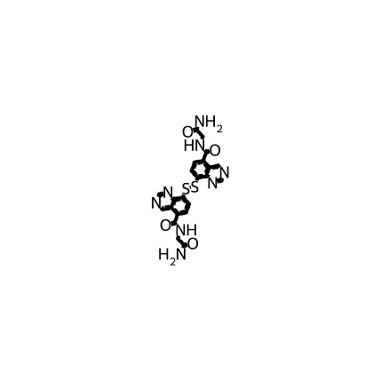 NC(=O)CNC(=O)c1ccc(SSc2ccc(C(=O)NCC(N)=O)c3cncnc23)c2ncncc12